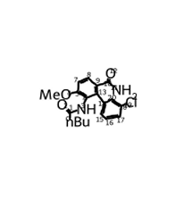 CCCCC(=O)Nc1c(OC)ccc(C(N)=O)c1-c1cccc(Cl)c1